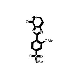 CNS(=O)(=O)c1ccc(C2=NC3=CCNC(=O)C3=N2)c(OC)c1